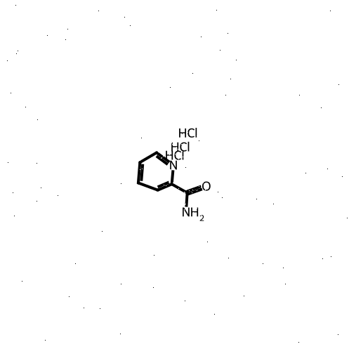 Cl.Cl.Cl.NC(=O)c1ccccn1